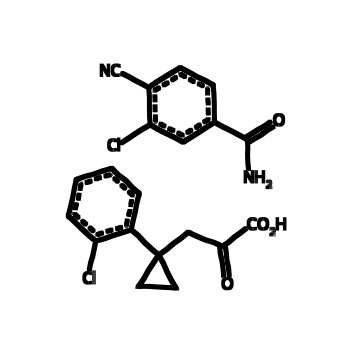 N#Cc1ccc(C(N)=O)cc1Cl.O=C(O)C(=O)CC1(c2ccccc2Cl)CC1